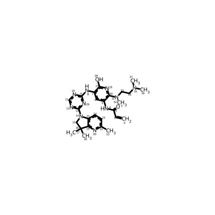 C=CC(=O)Nc1cc(Nc2ncnc(N3CC(C)(C)c4nc(C)ccc43)n2)c(O)nc1N(C)CCN(C)C